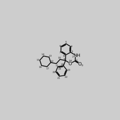 O=C1Nc2ccccc2C(CCC2CCCCC2)(c2ccccc2)O1